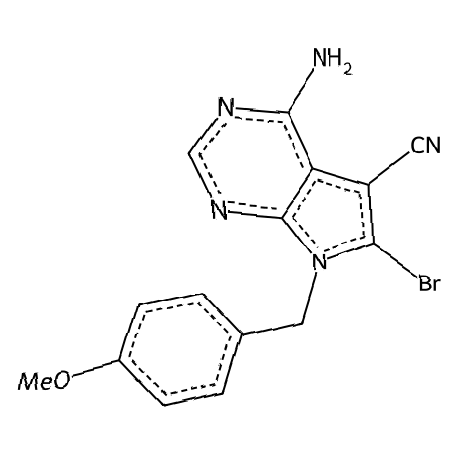 COc1ccc(Cn2c(Br)c(C#N)c3c(N)ncnc32)cc1